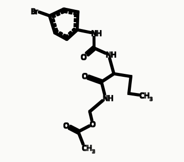 CCCC(NC(=O)Nc1ccc(Br)cc1)C(=O)NCOC(C)=O